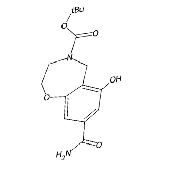 CC(C)(C)OC(=O)N1CCOc2cc(C(N)=O)cc(O)c2C1